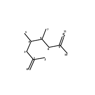 C=C(C)CC(C)C(C)CC(C)=S